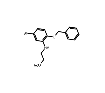 CC(=O)OCCNc1cc(Br)ccc1OCc1ccccc1